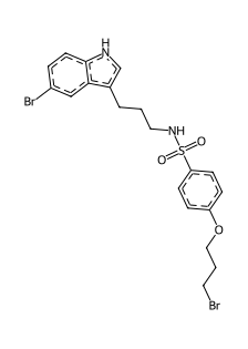 O=S(=O)(NCCCc1c[nH]c2ccc(Br)cc12)c1ccc(OCCCBr)cc1